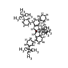 CC(C)(C)c1cccc(-c2cccc3c2C=C[CH]3[Hf]([CH3])([CH3])([CH3])(=[CH]Cc2ccccc2)[CH]2C=Cc3c(-c4cccc(C(C)(C)C)c4)cccc32)c1